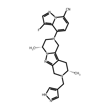 C[C@@H]1CN(c2ccc(C#N)n3ncc(F)c23)Cc2c3c(nn21)CN(Cc1cn[nH]c1)[C@@H](C)C3